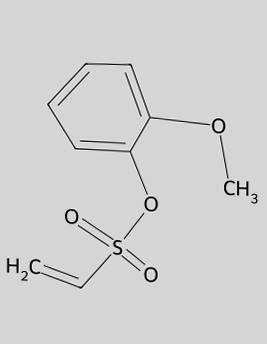 C=CS(=O)(=O)Oc1ccccc1OC